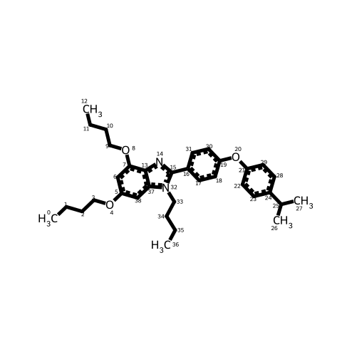 CCCCOc1cc(OCCCC)c2nc(-c3ccc(Oc4ccc(C(C)C)cc4)cc3)n(CCCC)c2c1